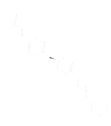 CC(C)(c1ccc(OCC(O)CCl)cc1)[C@@H]1C=CC(OC[C@H](O)CN2CCSCC2)=CC1